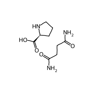 NC(=O)CCC(N)=O.O=C(O)[C@@H]1CCCN1